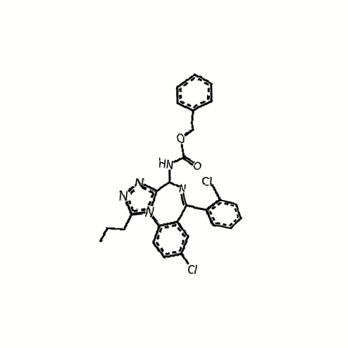 CCCc1nnc2n1-c1ccc(Cl)cc1C(c1ccccc1Cl)=NC2NC(=O)OCc1ccccc1